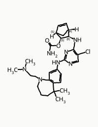 CN(C)CCN1CCCC(C)(C)c2ccc(Nc3ncc(Cl)c(N[C@H]4[C@@H](OC(N)=O)[C@@H]5C=C[C@H]4C5)n3)cc21